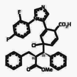 COC(=O)[C@@H](Cc1ccccc1)[C@@H](c1ccccc1)C1(Cl)C=CC(C(=O)O)C(c2cncn2-c2ccc(F)cc2F)=C1